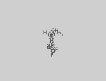 CC(C)(C)OC(=O)N1CC2CC(C(=O)N3N=CCC3c3cc(F)cc(F)c3)CC2C1